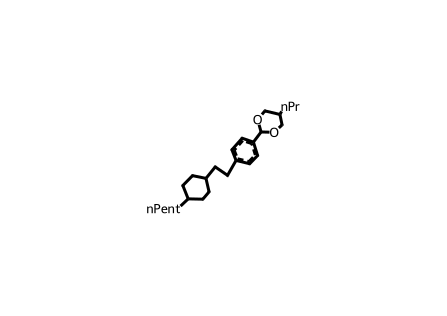 CCCCCC1CCC(CCc2ccc(C3OCC(CCC)CO3)cc2)CC1